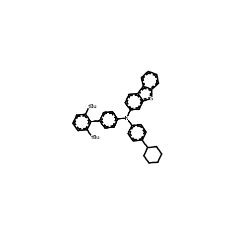 CC(C)(C)c1cccc(C(C)(C)C)c1-c1ccc(N(c2ccc(C3CCCCC3)cc2)c2ccc3c(c2)sc2ccccc23)cc1